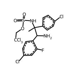 CC(NS(=O)(=O)OCC(Cl)(Cl)Cl)(c1ccc(Cl)cc1)C(N)c1ccc(Cl)cc1F